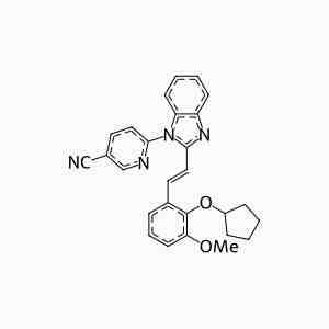 COc1cccc(/C=C/c2nc3ccccc3n2-c2ccc(C#N)cn2)c1OC1CCCC1